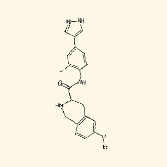 CCOc1ccc2c(c1)CC(C(=O)Nc1ccc(-c3cn[nH]c3)cc1F)NC2